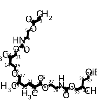 C=CC(=O)OCCNC(=O)OCC(C)CCOCC(C)C/C=C(\C)C(=O)OCCNC(=O)OCC(C)CCOCC(C)C